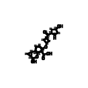 O=C(O)c1c(OC2CN(C(=O)C3CC(O)CN3)C2)ccc2c1OB(O)C1CC21